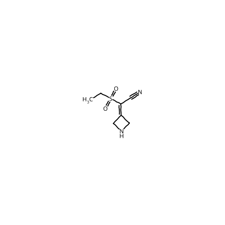 CCS(=O)(=O)C(C#N)=C1CNC1